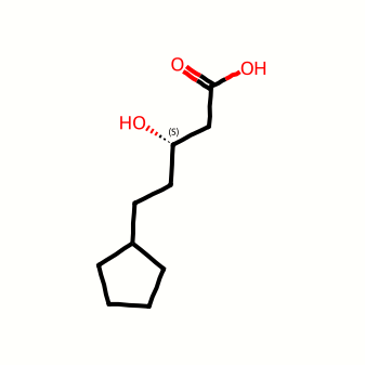 O=C(O)C[C@@H](O)CCC1CCCC1